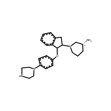 N[C@@H]1CCCN(C2Cc3ccccc3C2Oc2ccc(N3CCNCC3)cc2)C1